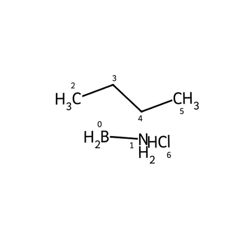 BN.CCCC.Cl